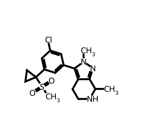 CC1NCCc2c1nn(C)c2-c1cc(Cl)cc(C2(S(C)(=O)=O)CC2)c1